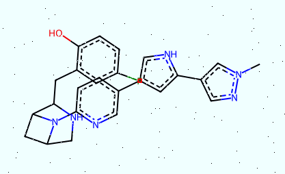 Cn1cc(-c2cc(-c3ccc(N4C5CNC(Cc6cc(F)ccc6O)C4C5)nc3)c[nH]2)cn1